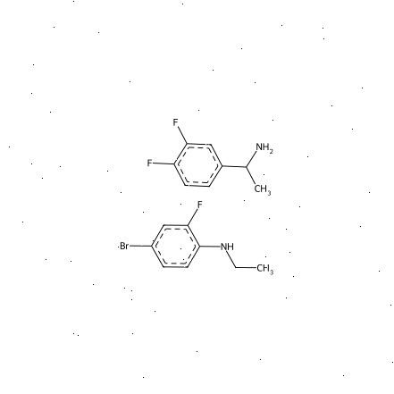 CC(N)c1ccc(F)c(F)c1.CCNc1ccc(Br)cc1F